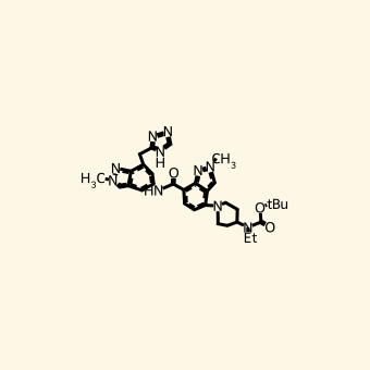 CCN(C(=O)OC(C)(C)C)C1CCN(c2ccc(C(=O)Nc3cc(Cc4nnc[nH]4)c4nn(C)cc4c3)c3nn(C)cc23)CC1